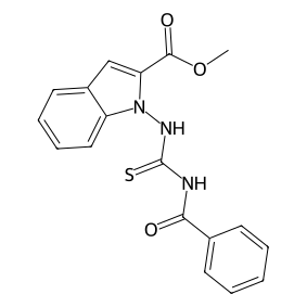 COC(=O)c1cc2ccccc2n1NC(=S)NC(=O)c1ccccc1